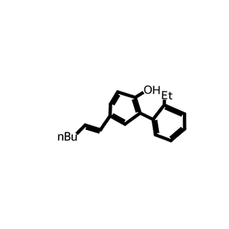 CCCCC=Cc1ccc(O)c(-c2ccccc2CC)c1